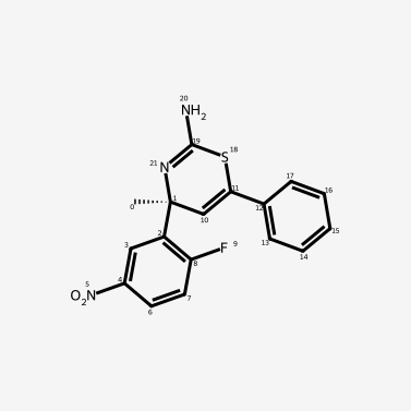 C[C@@]1(c2cc([N+](=O)[O-])ccc2F)C=C(c2ccccc2)SC(N)=N1